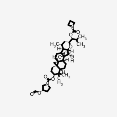 CC(C)[C@@H](OC(=O)N1CCC1)[C@H]1C[C@@H](C)[C@H]2[C@H](O1)[C@H](O)[C@@]1(C)[C@@H]3CC[C@H]4C(C)(C)[C@@H](OC(=O)N5CC[C@H](OC=O)C5)CC[C@@]45C[C@@]35CC[C@]21C